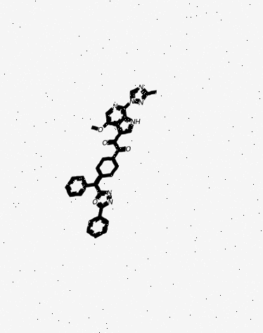 COc1cnc(-n2cnc(C)n2)c2[nH]cc(C(=O)C(=O)C3CCC(=C(c4ccccc4)c4nnc(-c5ccccc5)o4)CC3)c12